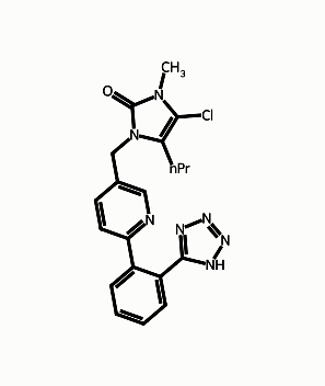 CCCc1c(Cl)n(C)c(=O)n1Cc1ccc(-c2ccccc2-c2nnn[nH]2)nc1